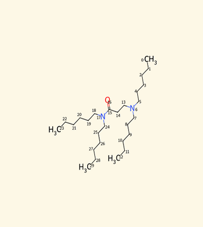 CCCCCCN(CCCCCC)CCC(=O)N(CCCCCC)CCCCCC